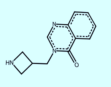 O=c1c2ccccc2ncn1CC1CNC1